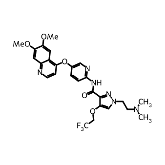 COc1cc2nccc(Oc3ccc(NC(=O)c4nn(CCN(C)C)cc4OCC(F)(F)F)nc3)c2cc1OC